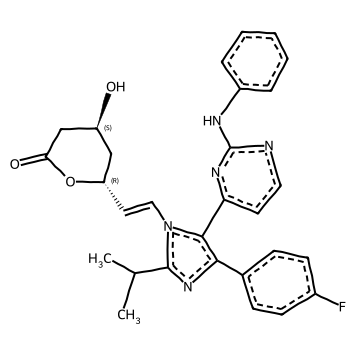 CC(C)c1nc(-c2ccc(F)cc2)c(-c2ccnc(Nc3ccccc3)n2)n1C=C[C@H]1C[C@H](O)CC(=O)O1